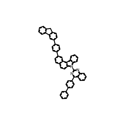 c1ccc(-c2ccc(-c3nc(-n4c5ccccc5c5c6cc(-c7ccc(-c8ccc9c(c8)-c8ccccc8C9)cc7)ccc6ccc54)nc4ccccc34)cc2)cc1